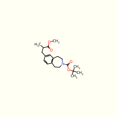 COC(=O)C(C)Cc1ccc2c(c1)CCN(C(=O)OC(C)(C)C)CC2